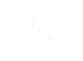 O=C(c1ccno1)N1CCC2CCNC2C1